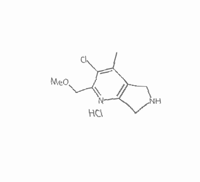 COCc1nc2c(c(C)c1Cl)CNC2.Cl